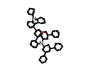 c1ccc(-c2cccc(N(c3cc(-c4ccccc4)cc(-c4ccccc4)c3)c3ccccc3-c3cccc(-c4cccc5c4c4ccccc4n5-c4ccccc4)c3)c2)cc1